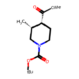 COC(=O)[C@@H]1CCN(C(=O)OC(C)(C)C)C[C@@H]1C